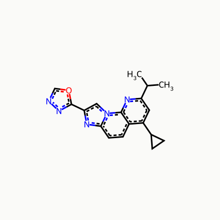 CC(C)c1cc(C2CC2)c2ccc3nc(-c4nnco4)cn3c2n1